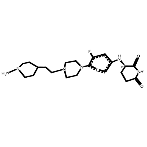 NN1CCC(CCN2CCN(c3ccc(N[C@@H]4CCC(=O)NC4=O)cc3F)CC2)CC1